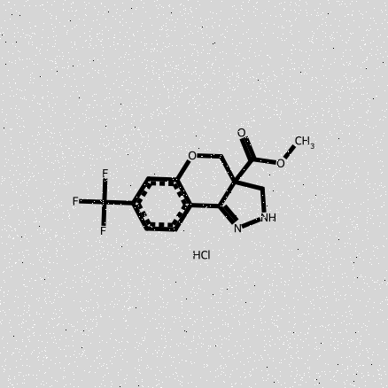 COC(=O)C12CNN=C1c1ccc(C(F)(F)F)cc1OC2.Cl